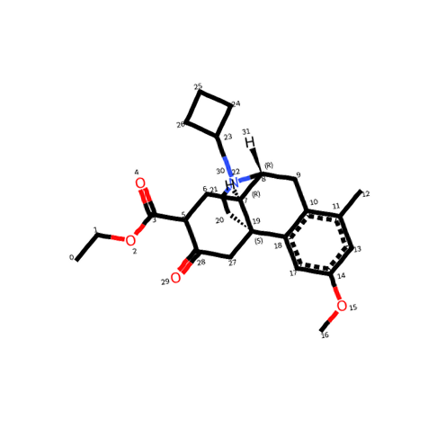 CCOC(=O)C1C[C@H]2[C@H]3Cc4c(C)cc(OC)cc4[C@@]2(CCN3C2CCC2)CC1=O